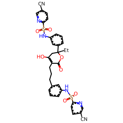 CCC1(c2cccc(NS(=O)(=O)c3ccc(C#N)cn3)c2)CC(O)=C(CCCc2cccc(NS(=O)(=O)c3ccc(C#N)cn3)c2)C(=O)O1